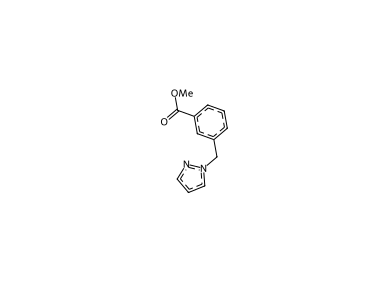 COC(=O)c1cccc(Cn2cccn2)c1